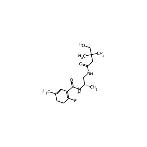 CC1=CC(C(=O)N[C@@H](C)CNC(=O)CC(C)(C)CO)=C(F)CC1